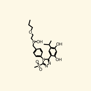 CCCOCCN(O)Cc1ccc(-n2c(-c3cc(C(C)C)c(O)cc3O)nnc2S(C)(=O)=O)cc1